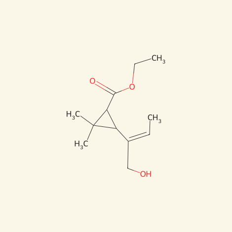 C/C=C(/CO)C1C(C(=O)OCC)C1(C)C